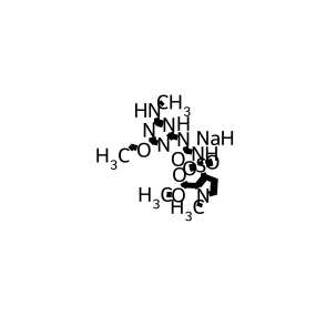 CCOc1nc(NC)nc(NC(=O)NS(=O)(=O)c2ccn(C)c2C(=O)OC)n1.[NaH]